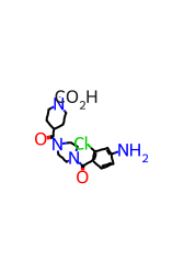 Nc1ccc(C(=O)N2CCN(C(=O)C3CCN(C(=O)O)CC3)CC2)c(Cl)c1